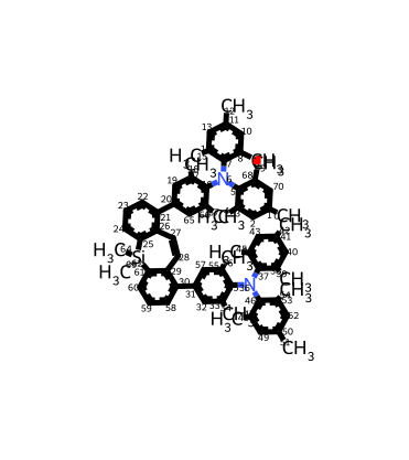 Cc1cc(C)c(N(c2c(C)cc(C)cc2C)c2c(C)cc(-c3cccc4c3C=Cc3c(-c5cc(C)c(N(c6c(C)cc(C)cc6C)c6c(C)cc(C)cc6C)c(C)c5)cccc3[Si]4(C)C)cc2C)c(C)c1